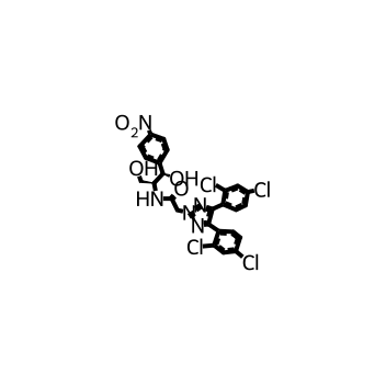 O=C(Cn1nc(-c2ccc(Cl)cc2Cl)c(-c2ccc(Cl)cc2Cl)n1)N[C@@H](CO)[C@H](O)c1ccc([N+](=O)[O-])cc1